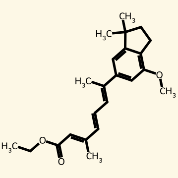 CCOC(=O)C=C(C)C=CC=C(C)c1cc(OC)c2c(c1)C(C)(C)CC2